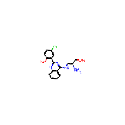 N[C@H](CO)CNc1nc(-c2cc(Cl)ccc2O)nc2ccccc12